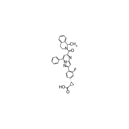 C[C@@H]1c2ccccc2CCN1C(=O)c1cc(-c2ccccc2)n2nc(-c3ccc([C@@H]4C[C@H]4C(=O)O)cc3F)cc2n1